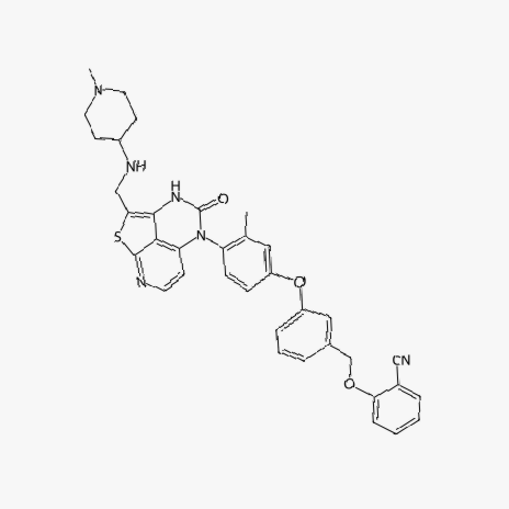 Cc1cc(Oc2cccc(COc3ccccc3C#N)c2)ccc1N1C(=O)Nc2c(CNC3CCN(C)CC3)sc3nccc1c23